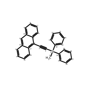 C[Si](C#Cc1c2ccccc2cc2ccccc12)(c1ccccc1)c1ccccc1